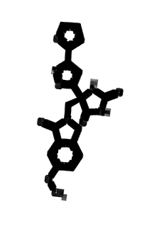 COc1ccc2c(c1)C(=O)N(C[C@@]1(c3cc(-c4ccco4)no3)NC(=O)NC1=O)C2